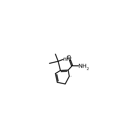 CCCC(C)(C)C1=C(C(N)=O)[CH]CC=C1